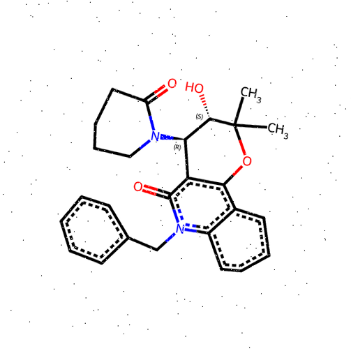 CC1(C)Oc2c(c(=O)n(Cc3ccccc3)c3ccccc23)[C@@H](N2CCCCC2=O)[C@@H]1O